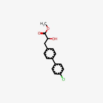 COC(=O)C(O)Cc1ccc(-c2ccc(Cl)cc2)cc1